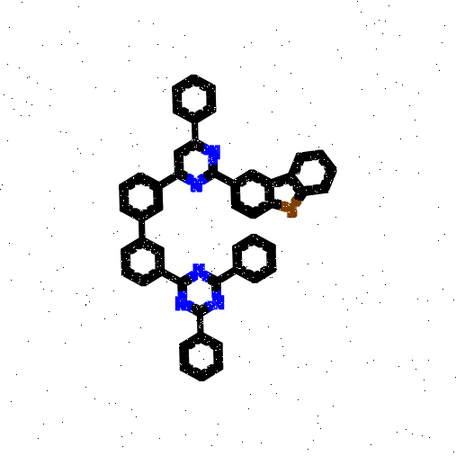 c1ccc(-c2cc(-c3cccc(-c4cccc(-c5nc(-c6ccccc6)nc(-c6ccccc6)n5)c4)c3)nc(-c3ccc4sc5ccccc5c4c3)n2)cc1